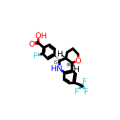 O=C(O)c1ccc([C@H]2Nc3ccc(C(F)(F)F)cc3[C@@H]3OCCC[C@H]23)cc1F